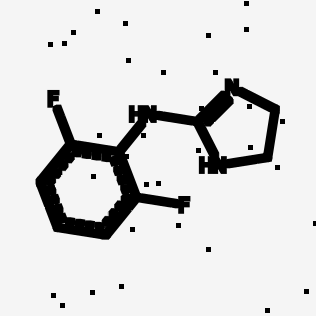 Fc1cccc(F)c1NC1=NCCN1